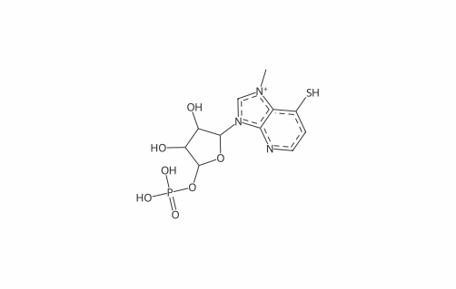 C[n+]1cn(C2OC(OP(=O)(O)O)C(O)C2O)c2nccc(S)c21